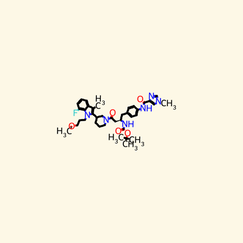 COCCCn1c(C2CCCN(C(=O)C[C@@H](Cc3ccc(NC(=O)c4cn(C)cn4)cc3)NC(=O)OC(C)(C)C)C2)c(C)c2cccc(F)c21